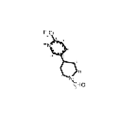 O=CN1CCC(c2ccc(C(F)(F)F)nc2)CC1